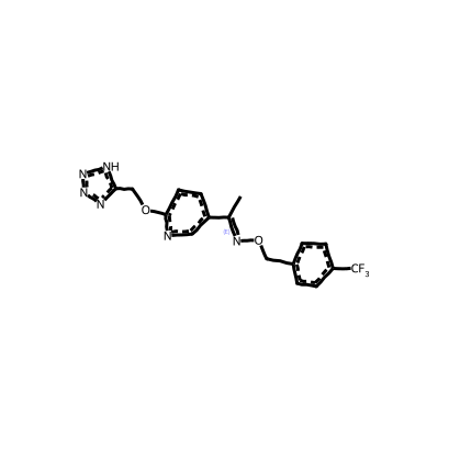 C/C(=N\OCc1ccc(C(F)(F)F)cc1)c1ccc(OCc2nnn[nH]2)nc1